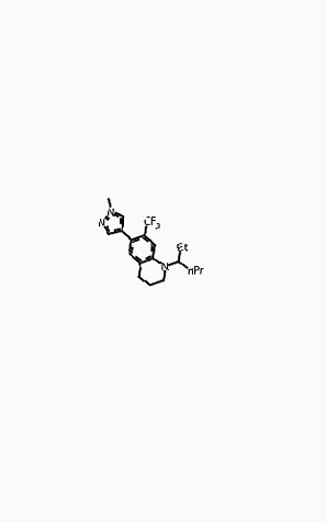 CCCC(CC)N1CCCc2cc(-c3cnn(C)c3)c(C(F)(F)F)cc21